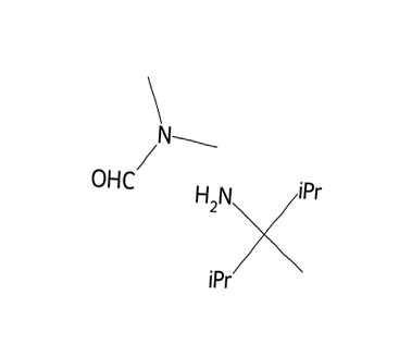 CC(C)C(C)(N)C(C)C.CN(C)C=O